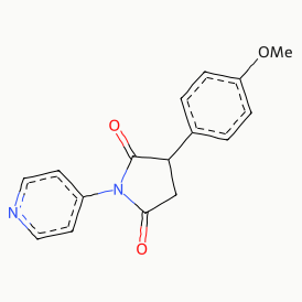 COc1ccc(C2CC(=O)N(c3ccncc3)C2=O)cc1